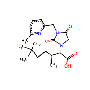 Cc1cccc(CN2C(=O)CN([C@H](C(=O)O)[C@@H](C)CCC(C)(C)C)C2=O)n1